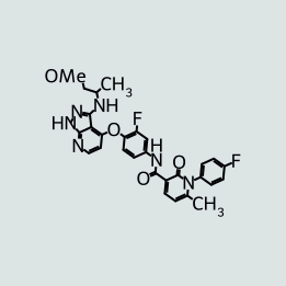 COCC(C)Nc1n[nH]c2nccc(Oc3ccc(NC(=O)c4ccc(C)n(-c5ccc(F)cc5)c4=O)cc3F)c12